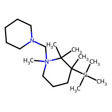 CC1(C)C(C)([Si](C)(C)C)CCC[N+]1(C)CN1CCCCC1